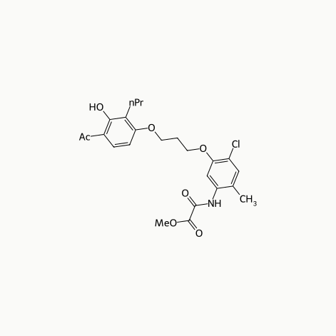 CCCc1c(OCCCOc2cc(NC(=O)C(=O)OC)c(C)cc2Cl)ccc(C(C)=O)c1O